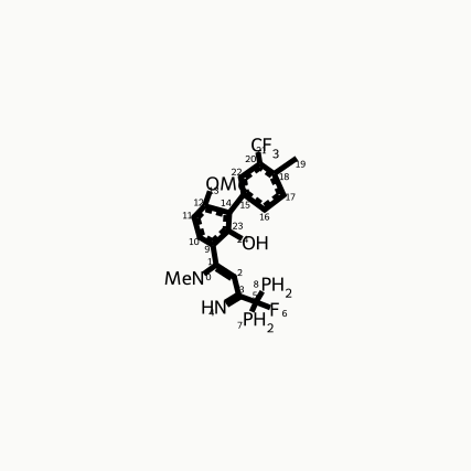 CN/C(=C\C(=N)C(F)(P)P)c1ccc(OC)c(-c2ccc(C)c(C(F)(F)F)c2)c1O